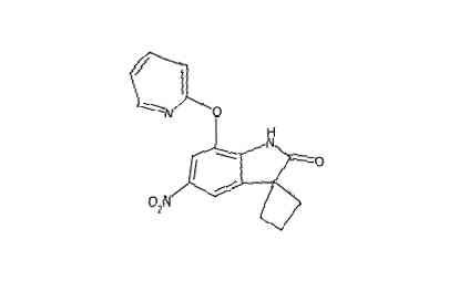 O=C1Nc2c(Oc3ccccn3)cc([N+](=O)[O-])cc2C12CCC2